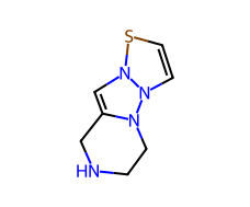 C1=CN2N(C=C3CNCCN32)S1